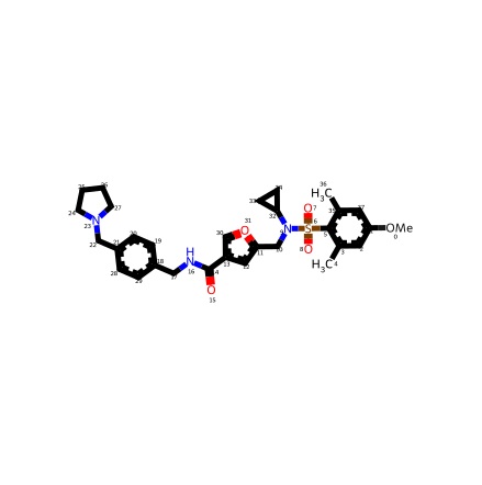 COc1cc(C)c(S(=O)(=O)N(Cc2cc(C(=O)NCc3ccc(CN4CCCC4)cc3)co2)C2CC2)c(C)c1